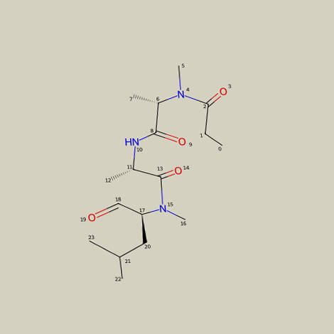 CCC(=O)N(C)[C@@H](C)C(=O)N[C@@H](C)C(=O)N(C)[C@H](C=O)CC(C)C